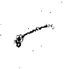 CCCCCCCCCCCCCCCCCCOS(=O)(=O)n1cnc2ccccc21